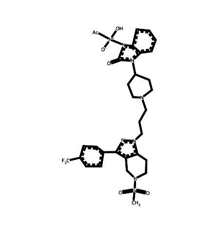 CC(=O)[N+]([O-])(O)n1c(=O)n(C2CCN(CCCn3nc(-c4ccc(C(F)(F)F)cc4)c4c3CCN(S(C)(=O)=O)C4)CC2)c2ccccc21